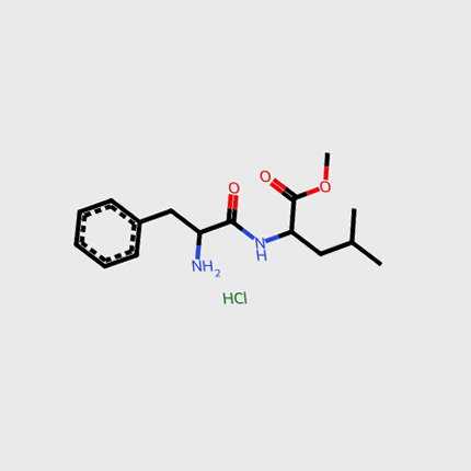 COC(=O)C(CC(C)C)NC(=O)C(N)Cc1ccccc1.Cl